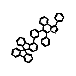 c1ccc(-c2cnn3c(-c4ccccc4)c(-c4cccc(-c5cccc6c5-c5ccccc5C65c6ccccc6-c6ccccc65)c4)c4ccccc4c23)cc1